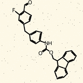 O=Cc1ccc(Cc2ccc(NC(=O)OCC3c4ccccc4-c4ccccc43)cc2)cc1F